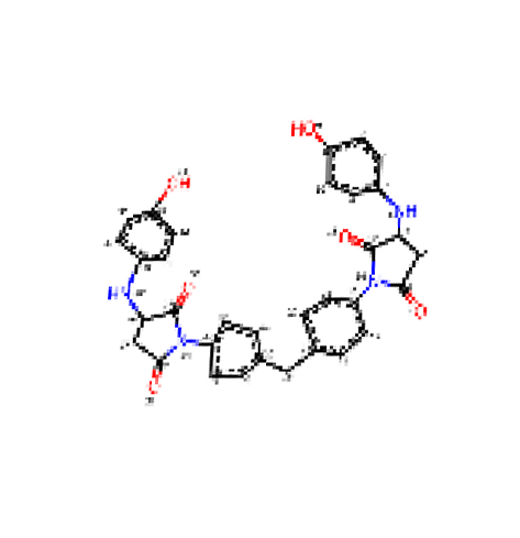 O=C1CC(Nc2ccc(O)cc2)C(=O)N1c1ccc(Cc2ccc(N3C(=O)CC(Nc4ccc(O)cc4)C3=O)cc2)cc1